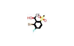 CS(=O)(=O)c1ccc(F)c(Br)c1C(O)C(F)(F)F